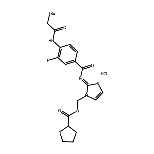 CC(C)(C)CC(=O)Nc1ccc(C(=O)N=c2sccn2COC(=O)C2CCCN2)cc1F.Cl